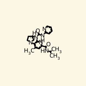 Cc1cc(C(=O)NC(C)C)nc2c1N1CC[C@@H](C1)N2C(=O)Nc1ccccn1